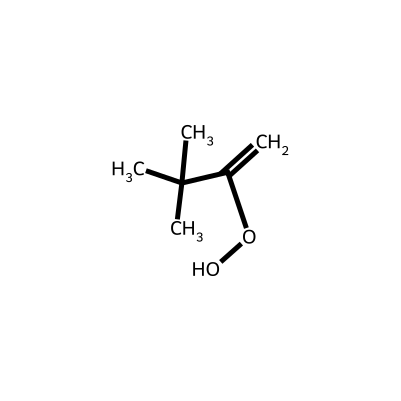 C=C(OO)C(C)(C)C